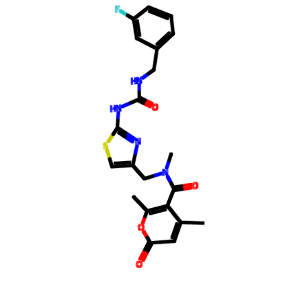 Cc1cc(=O)oc(C)c1C(=O)N(C)Cc1csc(NC(=O)NCc2cccc(F)c2)n1